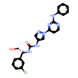 O=C(Nc1cnn(-c2ccnc(Nc3ccccc3)n2)c1)N[C@@H](CO)c1cccc(Cl)c1